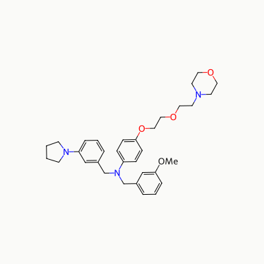 COc1cccc(CN(Cc2cccc(N3CCCC3)c2)c2ccc(OCCOCCN3CCOCC3)cc2)c1